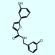 O=C(NCc1cccc(Cl)c1)c1ccc(-c2cccc(O)c2)o1